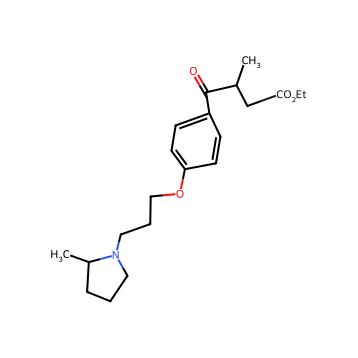 CCOC(=O)CC(C)C(=O)c1ccc(OCCCN2CCCC2C)cc1